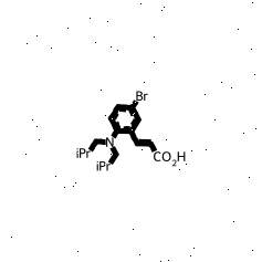 CC(C)CN(CC(C)C)c1ccc(Br)cc1/C=C/C(=O)O